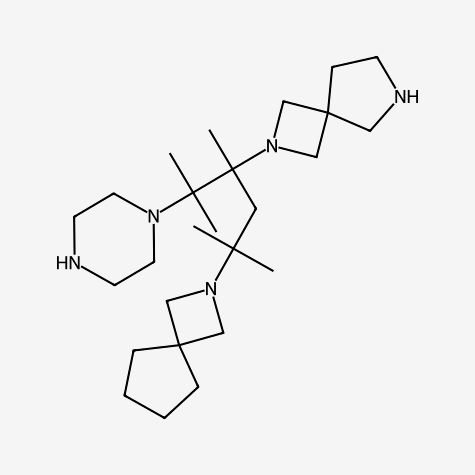 CC(C)(CC(C)(N1CC2(CCNC2)C1)C(C)(C)N1CCNCC1)N1CC2(CCCC2)C1